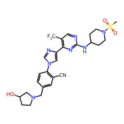 CS(=O)(=O)N1CCC(Nc2ncc(C(F)(F)F)c(-c3cn(-c4ccc(CN5CCC(O)C5)cc4C#N)cn3)n2)CC1